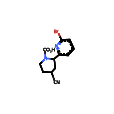 N#CC1CCN(C(=O)O)C(c2cccc(Br)n2)C1